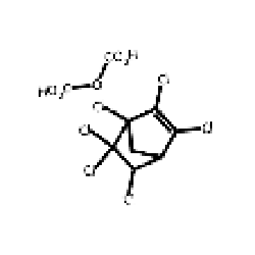 ClC1=C(Cl)C2(Cl)CC1C(Cl)C2(Cl)Cl.O=C(O)OC(=O)O